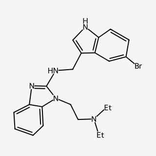 CCN(CC)CCn1c(NCc2c[nH]c3ccc(Br)cc23)nc2ccccc21